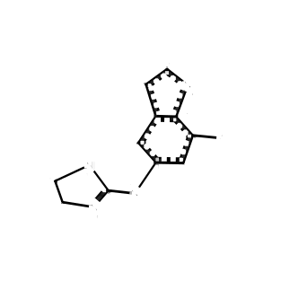 CC(=O)c1cc(NC2=NCCN2)cc2cc[nH]c12